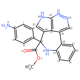 COC(=O)C1(c2ccc(N)cc2)Nc2ccccc2-c2cnnc3[nH]cc1c23